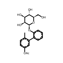 CC(=O)Oc1ccc(C)c(-c2ccccc2O[C@@H]2O[C@H](CO)[C@@H](O)[C@H](O)[C@@H]2O)c1